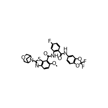 COc1ccc2nc(N3C4COCC3C4)sc2c1C(=O)Nc1cc(F)ccc1C(=O)Nc1ccc2c(c1)OC(F)(F)O2